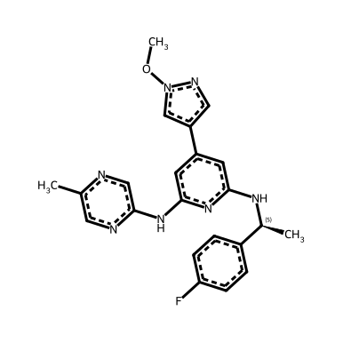 COn1cc(-c2cc(Nc3cnc(C)cn3)nc(N[C@@H](C)c3ccc(F)cc3)c2)cn1